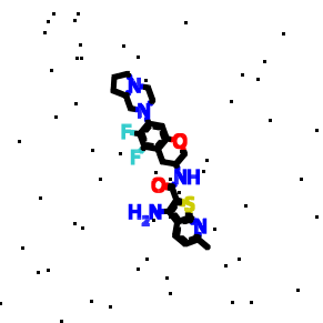 Cc1ccc2c(N)c(C(=O)NC3COc4cc(N5CCN6CCCC6C5)c(F)c(F)c4C3)sc2n1